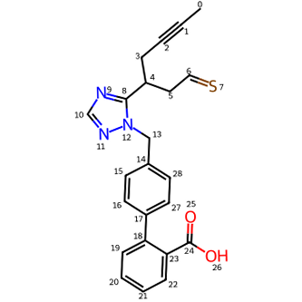 CC#CCC(CC=S)c1ncnn1Cc1ccc(-c2ccccc2C(=O)O)cc1